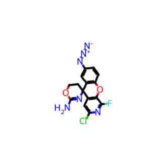 [N-]=[N+]=Nc1ccc2c(c1)C1(CCOC(N)=N1)c1cc(Cl)nc(F)c1O2